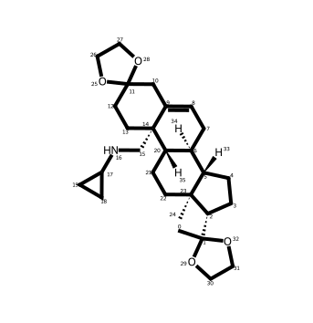 CC1([C@H]2CC[C@H]3[C@@H]4CC=C5CC6(CC[C@]5(CNC5CC5)[C@H]4CC[C@]23C)OCCO6)OCCO1